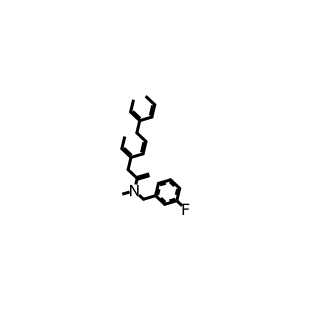 C=C(CC(/C=C\CC(/C=C\C)=C/C)=C/C)N(C)Cc1cccc(F)c1